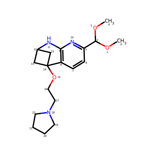 COC(OC)c1ccc2c(n1)NC1CC2(OCCN2CCCC2)C1